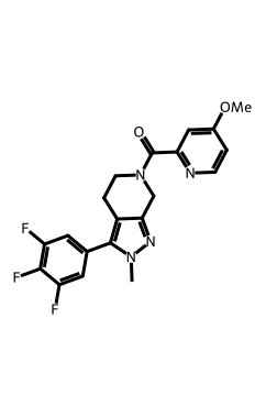 COc1ccnc(C(=O)N2CCc3c(nn(C)c3-c3cc(F)c(F)c(F)c3)C2)c1